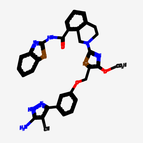 N#Cc1c(-c2cccc(OCc3sc(N4CCc5cccc(C(=O)Nc6nc7ccccc7s6)c5C4)nc3OC(=O)O)c2)n[nH]c1N